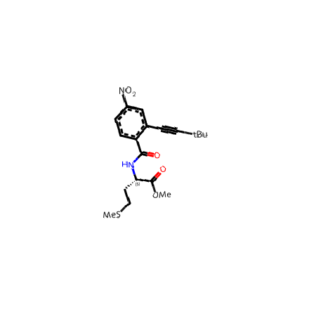 COC(=O)[C@H](CCSC)NC(=O)c1ccc([N+](=O)[O-])cc1C#CC(C)(C)C